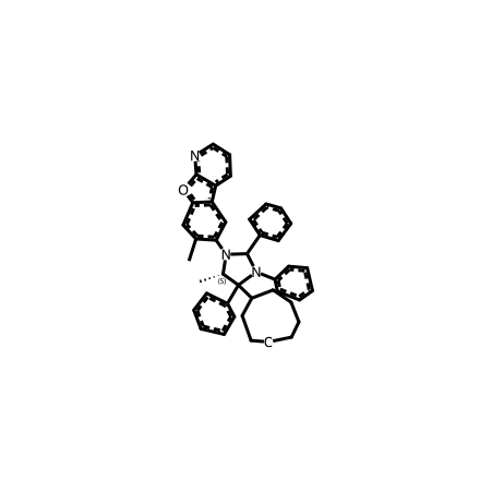 Cc1cc2oc3ncccc3c2cc1N1C(c2ccccc2)N(c2ccccc2)C(c2ccccc2)(C2CCCCCCC2)[C@@H]1C